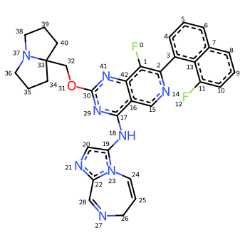 Fc1c(-c2cccc3cccc(F)c23)ncc2c(Nc3cnc4n3C=CCN=C4)nc(OCC34CCCN3CCC4)nc12